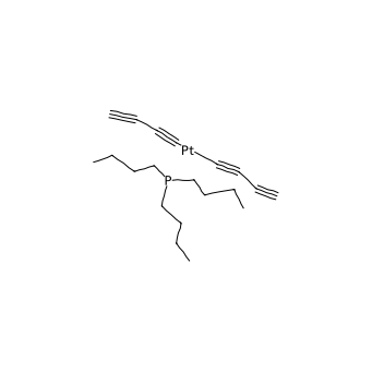 C#CC#[C][Pt][C]#CC#C.CCCCP(CCCC)CCCC